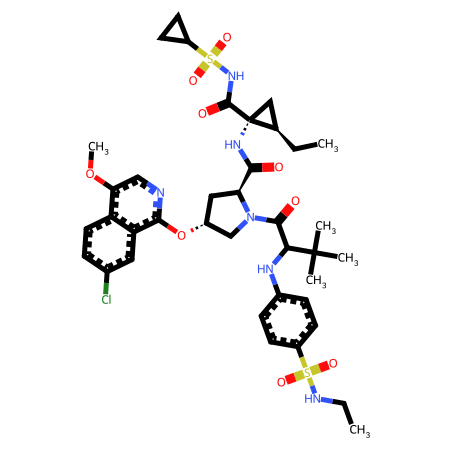 CCNS(=O)(=O)c1ccc(NC(C(=O)N2C[C@H](Oc3ncc(OC)c4ccc(Cl)cc34)C[C@H]2C(=O)N[C@]2(C(=O)NS(=O)(=O)C3CC3)C[C@H]2CC)C(C)(C)C)cc1